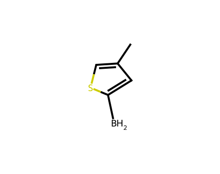 Bc1cc(C)cs1